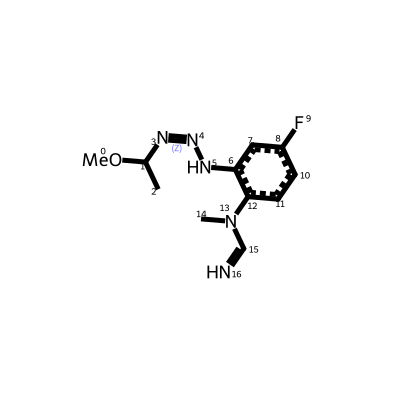 COC(C)/N=N\Nc1cc(F)ccc1N(C)C=N